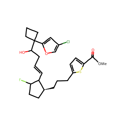 COC(=O)c1ccc(CCC[C@H]2CCC(F)C2/C=C/CC(O)C2(c3cc(Cl)co3)CCC2)s1